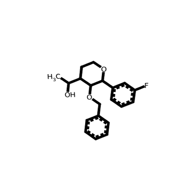 CC(O)C1CCOC(c2cccc(F)c2)C1OCc1ccccc1